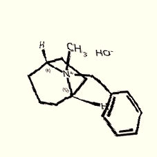 C[N+]1(Cc2ccccc2)[C@@H]2CCC[C@H]1CC2.[OH-]